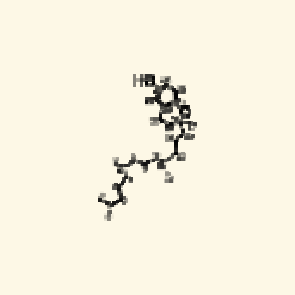 CC(C)CCC[C@@H](C)CCC[C@@H](C)CCC[C@]1(C)CCc2cc(O)ccc2O1